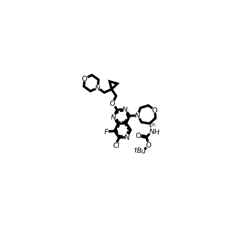 CC(C)(C)OC(=O)N[C@H]1COCCN(c2nc(OCC3(CN4CCOCC4)CC3)nc3c(F)c(Cl)ncc23)C1